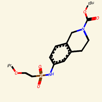 CC(C)OCCS(=O)(=O)Nc1ccc2c(c1)CCN(C(=O)OC(C)(C)C)C2